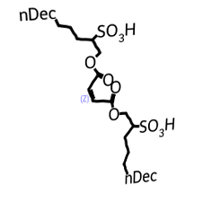 CCCCCCCCCCCCCC(COC(=O)/C=C\C(=O)OCC(CCCCCCCCCCCCC)S(=O)(=O)O)S(=O)(=O)O